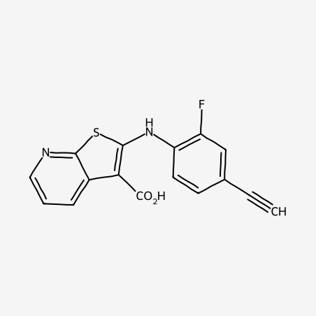 C#Cc1ccc(Nc2sc3ncccc3c2C(=O)O)c(F)c1